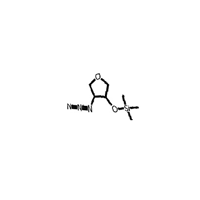 C[Si](C)(C)OC1COCC1N=[N+]=[N-]